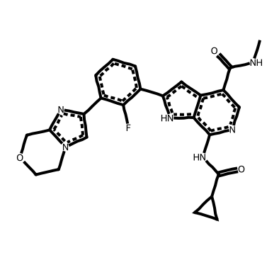 CNC(=O)c1cnc(NC(=O)C2CC2)c2[nH]c(-c3cccc(-c4cn5c(n4)COCC5)c3F)cc12